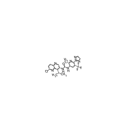 Cc1nc(-n2nccn2)c(C(F)(F)F)cc1NC(=O)Nc1cnc2ccc(Cl)nc2c1C(C)C